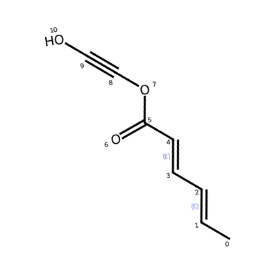 C/C=C/C=C/C(=O)OC#CO